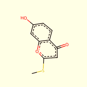 CSc1cc(=O)c2ccc(O)cc2o1